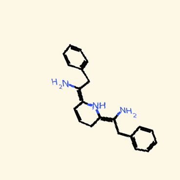 NC(Cc1ccccc1)=C1C=CCC(=C(N)Cc2ccccc2)N1